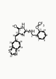 O=C1NC(NCc2ccccc2OC(F)(F)F)=N/C1=C\c1ccc2ncsc2c1